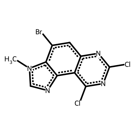 Cn1cnc2c3c(Cl)nc(Cl)nc3cc(Br)c21